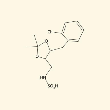 CC1(C)OC(CNS(=O)(=O)O)C(Cc2ccccc2Cl)O1